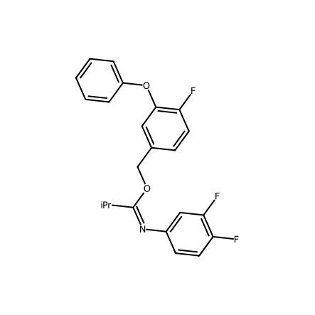 CC(C)C(=Nc1ccc(F)c(F)c1)OCc1ccc(F)c(Oc2ccccc2)c1